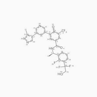 C[C@@H](NC(=O)c1cc(C(F)(F)F)c(=O)n(-c2cncc(-c3cnnn3C)c2)n1)c1cccc(C(F)(F)CO)c1F